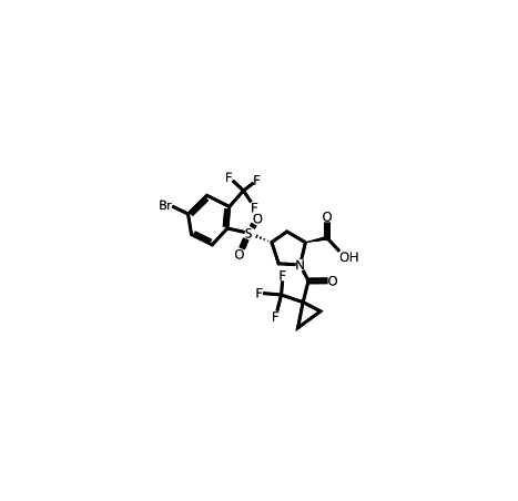 O=C(O)[C@@H]1C[C@@H](S(=O)(=O)c2ccc(Br)cc2C(F)(F)F)CN1C(=O)C1(C(F)(F)F)CC1